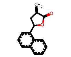 C=C1CC(c2cccc3ccccc23)OC1=O